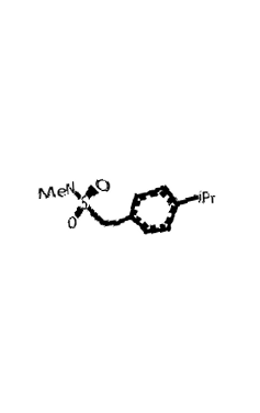 CNS(=O)(=O)Cc1ccc(C(C)C)cc1